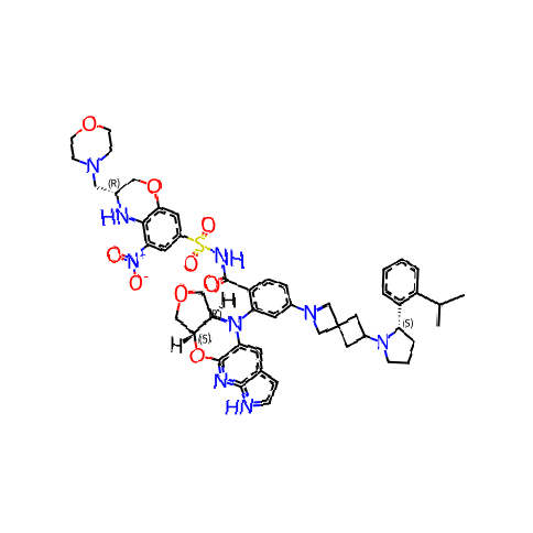 CC(C)c1ccccc1[C@@H]1CCCN1C1CC2(C1)CN(c1ccc(C(=O)NS(=O)(=O)c3cc4c(c([N+](=O)[O-])c3)N[C@H](CN3CCOCC3)CO4)c(N3c4cc5cc[nH]c5nc4O[C@@H]4COC[C@H]43)c1)C2